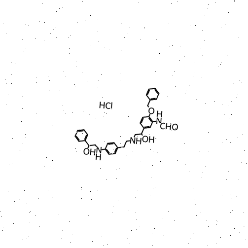 Cl.O=CNc1cc(C(O)CNCCc2ccc(NCC(O)c3ccccc3)cc2)ccc1OCc1ccccc1